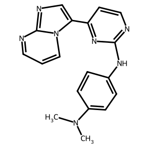 CN(C)c1ccc(Nc2nccc(-c3cnc4ncccn34)n2)cc1